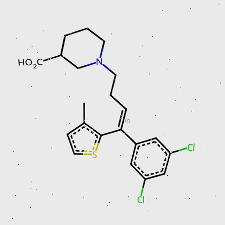 Cc1ccsc1/C(=C\CCN1CCCC(C(=O)O)C1)c1cc(Cl)cc(Cl)c1